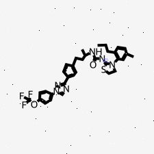 CCCc1ccc(C)cc1N1CCS/C1=N\C(=O)NC(C)CCc1ccc(-c2ncn(-c3ccc(OC(F)(F)F)cc3)n2)cc1